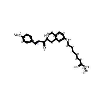 COc1ccc(/C=C/C(=O)C2Cc3cc(OCCCCCCC(=O)NO)ccc3CN2)cc1